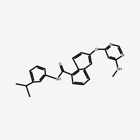 CNc1cc(Oc2ccc3c(C(=O)Nc4cccc(C(C)C)c4)cccc3c2)ncn1